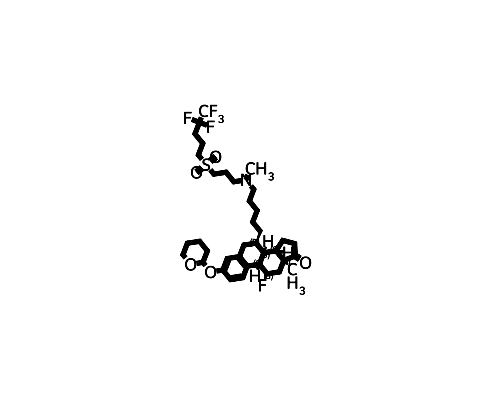 CN(CCCCC[C@@H]1Cc2cc(OC3CCCCO3)ccc2[C@@H]2[C@@H]1[C@@H]1CCC(=O)[C@@]1(C)C[C@@H]2F)CCCS(=O)(=O)CCCC(F)(F)C(F)(F)F